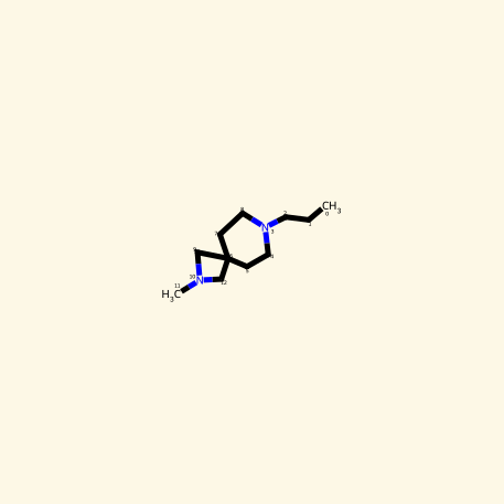 CCCN1CCC2(CC1)CN(C)C2